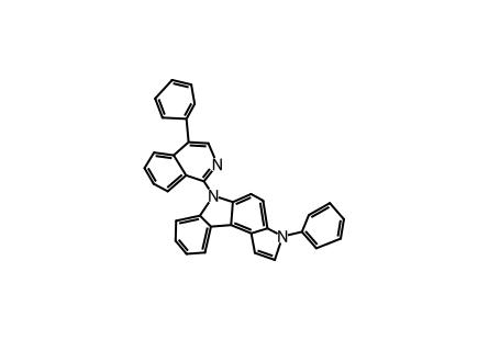 c1ccc(-c2cnc(-n3c4ccccc4c4c5ccn(-c6ccccc6)c5ccc43)c3ccccc23)cc1